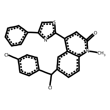 Cn1c(=O)cc(-c2nc(-c3ccccc3)cs2)c2cc(C(Cl)c3ccc(Cl)cc3)ccc21